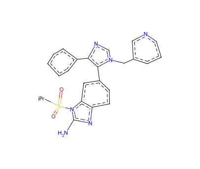 CC(C)S(=O)(=O)n1c(N)nc2ccc(-c3c(-c4ccccc4)ncn3Cc3cccnc3)cc21